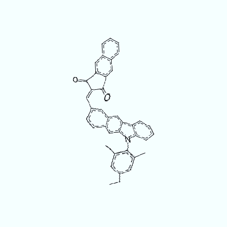 CCc1cc(C)c(-n2c3ccccc3c3cc4cc(C=C5C(=O)c6cc7ccccc7cc6C5=O)ccc4cc32)c(C)c1